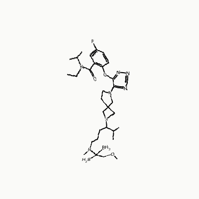 BC(B)(COC)N(C)CCCC(C(C)C)N1CC2(CCN(c3ncnnc3Oc3ccc(F)cc3C(=O)N(CC)C(C)C)C2)C1